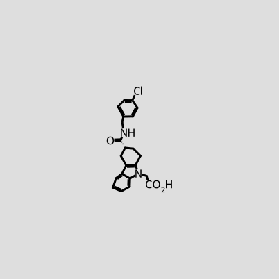 O=C(O)Cn1c2c(c3ccccc31)C[C@H](C(=O)NCc1ccc(Cl)cc1)CC2